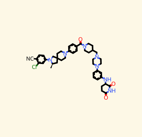 C[C@@H]1CC2(CCN(c3ccc(C(=O)N4CCC(CN5CCN(c6cccc(NC7CCC(=O)NC7=O)c6)CC5)CC4)cc3)CC2)CN1c1ccc(C#N)c(Cl)c1